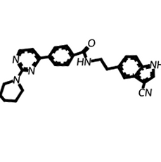 N#Cc1c[nH]c2ccc(CCNC(=O)c3ccc(-c4ccnc(N5CCCCC5)n4)cc3)cc12